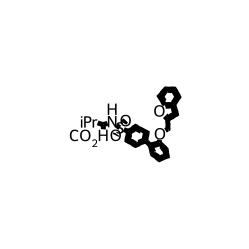 CC(C)C(NS(=O)(=O)c1ccc(-c2ccccc2OCc2cc3ccccc3o2)cc1)C(=O)O